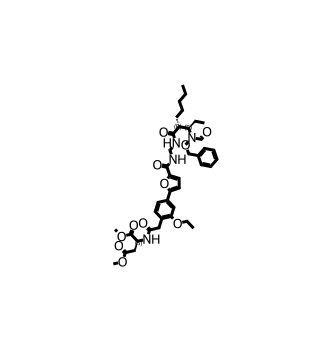 CCCCC[C@@H](C(=O)NCNC(=O)c1ccc(-c2ccc(CC(=O)N[C@@H](CC(=O)OC)C(=O)OC)c(OCC)c2)o1)[C@@H](CC)N(C=O)OCc1ccccc1